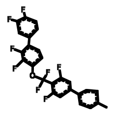 Cc1ccc(-c2cc(F)c(C(F)(F)Oc3ccc(-c4ccc(F)c(F)c4)c(F)c3F)c(F)c2)cc1